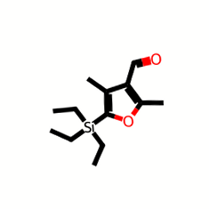 CC[Si](CC)(CC)c1oc(C)c(C=O)c1C